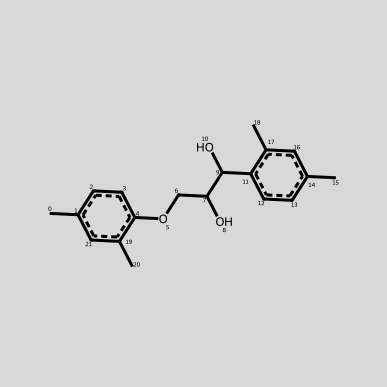 Cc1ccc(OCC(O)C(O)c2ccc(C)cc2C)c(C)c1